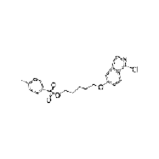 Cc1ccc(S(=O)(=O)OCCCCCOc2ccc3c(Cl)nccc3c2)cc1